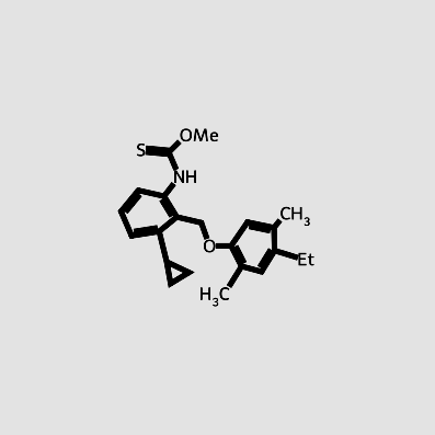 CCc1cc(C)c(OCc2c(NC(=S)OC)cccc2C2CC2)cc1C